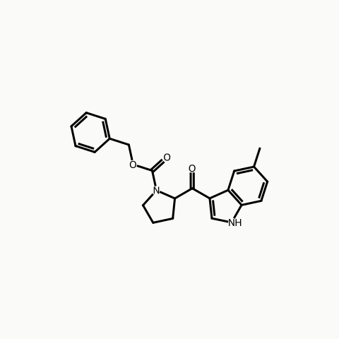 Cc1ccc2[nH]cc(C(=O)C3CCCN3C(=O)OCc3ccccc3)c2c1